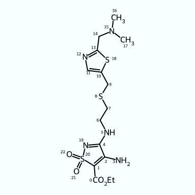 CCOC(=O)C1=C(N)C(NCCSCc2cnc(CN(C)C)s2)=NS1(=O)=O